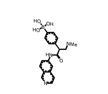 CNCC(C(=O)Nc1ccc2cnccc2c1)c1ccc([B-](O)(O)O)cc1